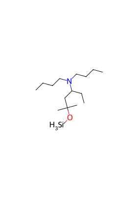 CCCCN(CCCC)C(CC)CC(C)(C)O[SiH3]